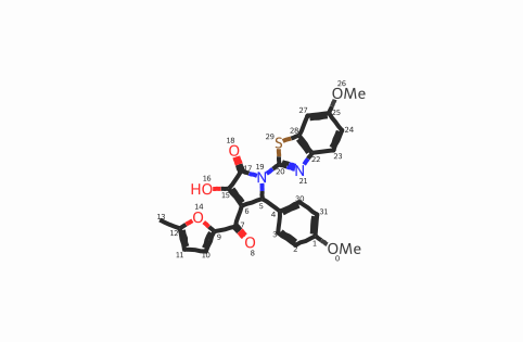 COc1ccc(C2C(C(=O)c3ccc(C)o3)=C(O)C(=O)N2c2nc3ccc(OC)cc3s2)cc1